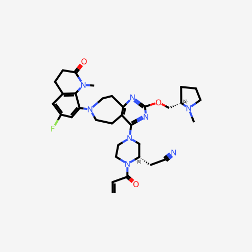 C=CC(=O)N1CCN(c2nc(OC[C@@H]3CCCN3C)nc3c2CCN(c2cc(F)cc4c2N(C)C(=O)CC4)CC3)C[C@@H]1CC#N